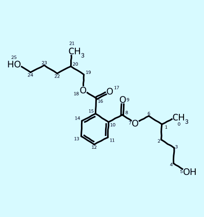 CC(CCCO)COC(=O)c1ccccc1C(=O)OCC(C)CCCO